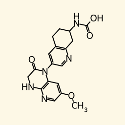 COc1cnc2c(c1)N(c1cnc3c(c1)CCC(NC(=O)O)C3)C(=O)CN2